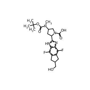 CN(C(=O)OC(C)(C)C)C1CC(c2nc3c(F)c4c(c(F)c3[nH]2)CC(CO)C4)N(C(=O)O)C1